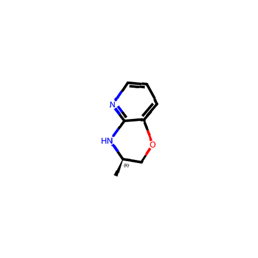 C[C@@H]1COc2cccnc2N1